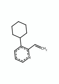 C=Cc1ncccc1C1CCCCC1